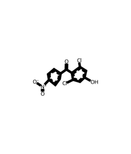 O=C(c1ccc([N+](=O)[O-])cc1)c1c(Cl)cc(O)cc1Cl